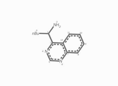 CCCCC(N)c1ncnc2ccccc12